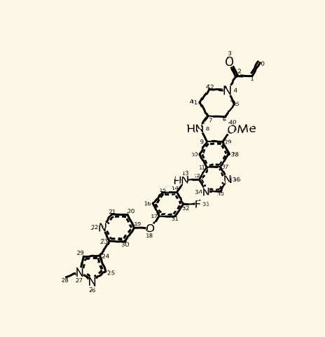 C=CC(=O)N1CCC(Nc2cc3c(Nc4ccc(Oc5ccnc(-c6cnn(C)c6)c5)cc4F)ncnc3cc2OC)CC1